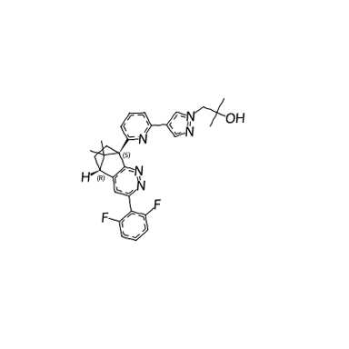 CC(C)(O)Cn1cc(-c2cccc([C@@]34CC[C@@H](c5cc(-c6c(F)cccc6F)nnc53)C4(C)C)n2)cn1